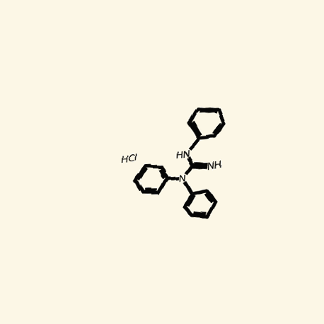 Cl.N=C(Nc1ccccc1)N(c1ccccc1)c1ccccc1